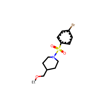 CCOCC1CCN(S(=O)(=O)c2ccc(Br)cc2)CC1